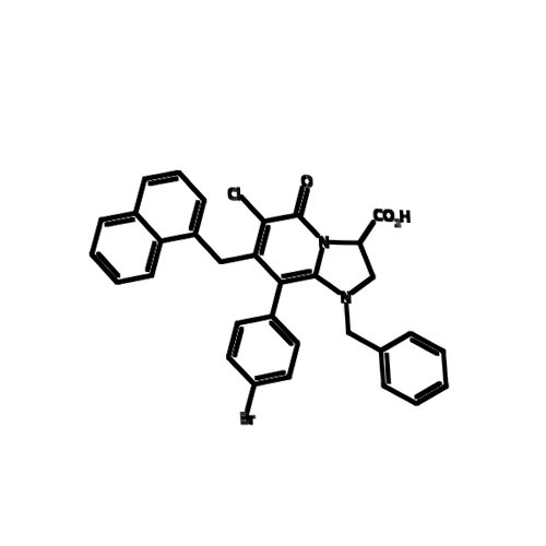 O=C(O)C1CN(Cc2ccccc2)c2c(-c3ccc(Br)cc3)c(Cc3cccc4ccccc34)c(Cl)c(=O)n21